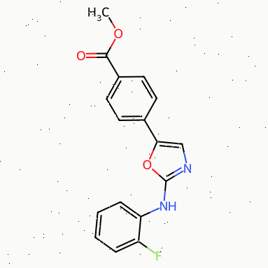 COC(=O)c1ccc(-c2cnc(Nc3ccccc3F)o2)cc1